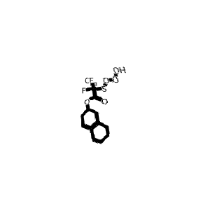 O=C(OC1CCC2CCCCC2C1)C(F)(SOOO)C(F)(F)F